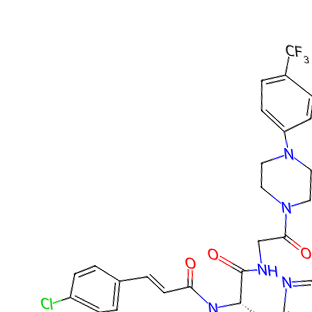 O=C(/C=C/c1ccc(Cl)cc1)N[C@@H](Cc1ccccn1)C(=O)NCC(=O)N1CCN(c2ccc(C(F)(F)F)cc2)CC1